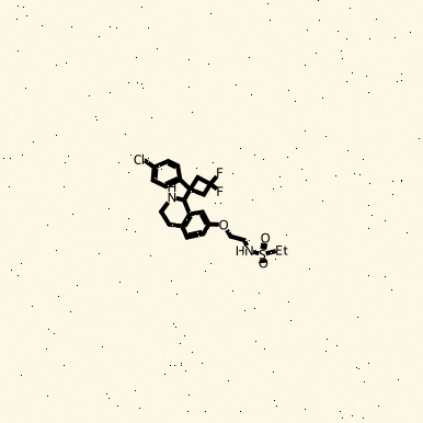 CCS(=O)(=O)NCCOc1ccc2c(c1)C(C1(c3ccc(Cl)cc3)CC(F)(F)C1)NCC2